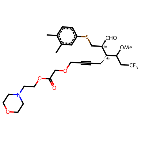 COC(CC(F)(F)F)[C@H](CC#CCOCC(=O)OCCN1CCOCC1)[C@H](C=O)CSc1ccc(C)c(C)c1